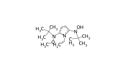 C=Cn1c(N(O)C(C)(C)C)ccc1N(OC)C(C)(C)C